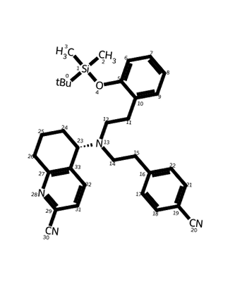 CC(C)(C)[Si](C)(C)Oc1ccccc1CCN(CCc1ccc(C#N)cc1)[C@H]1CCCc2nc(C#N)ccc21